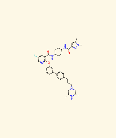 Cc1cc(C(=O)N[C@H]2CC[C@@H](NC(=O)c3cc(F)cnc3Oc3cccc(-c4ccc(CCCN5C[C@@H](C)N[C@@H](C)C5)cc4)c3)CC2)nn1C